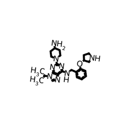 CC(C)n1cnc2c(NCc3ccccc3OC3CCNC3)nc(N3CCC(N)CC3)nc21